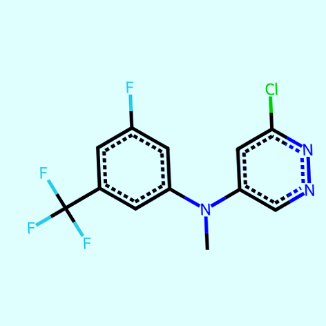 CN(c1cc(F)cc(C(F)(F)F)c1)c1cnnc(Cl)c1